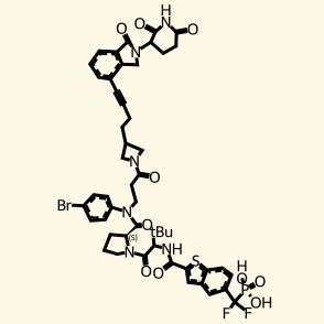 CC(C)(C)C(NC(=O)c1cc2cc(C(F)(F)P(=O)(O)O)ccc2s1)C(=O)N1CCC[C@H]1C(=O)N(CCC(=O)N1CC(CCC#Cc2cccc3c2CN(C2CCC(=O)NC2=O)C3=O)C1)c1ccc(Br)cc1